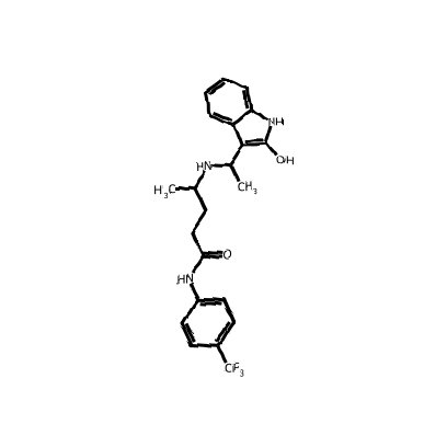 CC(CCC(=O)Nc1ccc(C(F)(F)F)cc1)NC(C)c1c(O)[nH]c2ccccc12